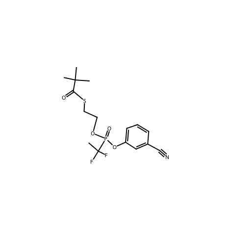 CC(C)(C)C(=O)SCCOP(=O)(Oc1cccc(C#N)c1)C(C)(F)F